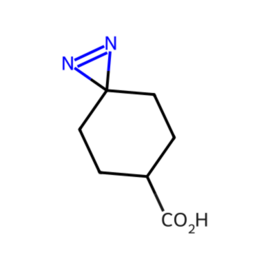 O=C(O)C1CCC2(CC1)N=N2